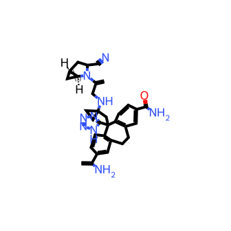 C=C(N)c1ccc2c(c1)CCc1cc(C(N)=O)ccc1C2(CC1(NCC(=C)N2C(C#N)C[C@@H]3C[C@@H]32)CC1)c1nnn[nH]1